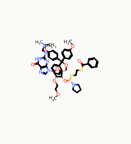 COCCO[C@H]1[C@@H](OP(SCCSC(=O)c2ccccc2)N2CCCC2)[C@@H](COC(c2ccccc2)(c2ccc(OC)cc2)c2ccc(OC)cc2)O[C@H]1n1cnc2c(=O)[nH]c(/N=C/N(C)C)nc21